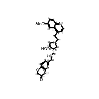 COc1ccc2nccc(CCN3C[C@H](CNCc4ccc5c(n4)NC(=O)CO5)[C@H](O)C3)c2c1